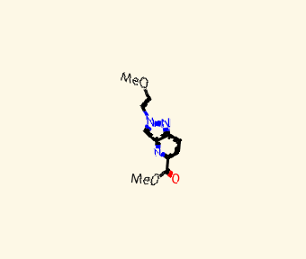 COCCn1cc2nc(C(=O)OC)ccc2n1